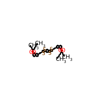 CCCCCCC(CCCC)C(=O)OC1CC=Cc2ccc(C#Cc3cc4sc5cc6c(cc5c4s3)sc3cc(C#Cc4ccc5c(c4)C(OC(=O)C(CCCC)CCCCCC)CC=C5)sc36)cc21